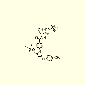 CCC(F)(F)OC[C@@H]1C[C@H](Oc2ccc(C(F)(F)F)cc2)CN1c1ccc(C(=O)NC(CO)c2ccc(S(=O)(=O)CC)cn2)cc1